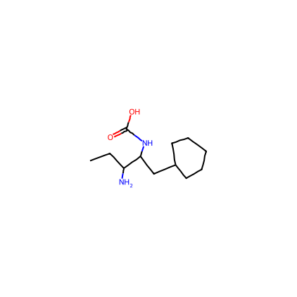 CCC(N)C(CC1CCCCC1)NC(=O)O